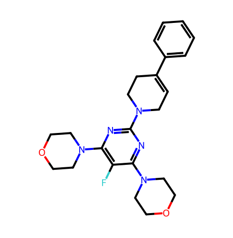 Fc1c(N2CCOCC2)nc(N2CC=C(c3ccccc3)CC2)nc1N1CCOCC1